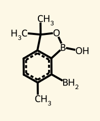 Bc1c(C)ccc2c1B(O)OC2(C)C